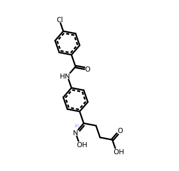 O=C(O)CC/C(=N\O)c1ccc(NC(=O)c2ccc(Cl)cc2)cc1